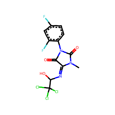 CN1C(=O)N(c2ccc(F)cc2F)C(=O)C1=NC(O)C(Cl)(Cl)Cl